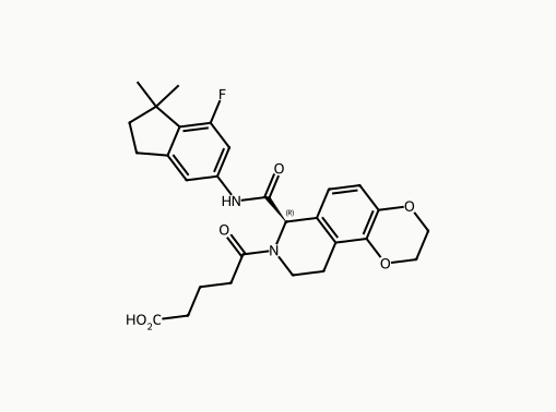 CC1(C)CCc2cc(NC(=O)[C@H]3c4ccc5c(c4CCN3C(=O)CCCC(=O)O)OCCO5)cc(F)c21